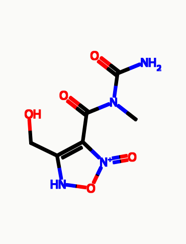 CN(C(N)=O)C(=O)c1c(CO)[nH]o[n+]1=O